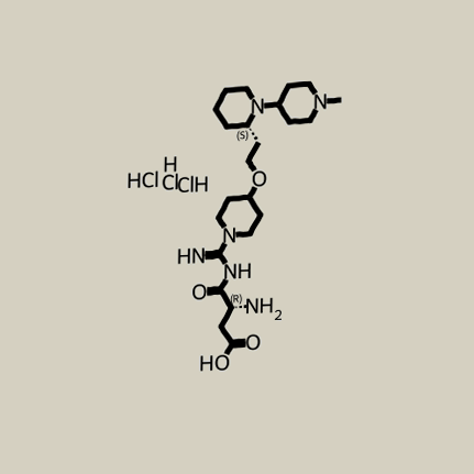 CN1CCC(N2CCCC[C@H]2CCOC2CCN(C(=N)NC(=O)[C@H](N)CC(=O)O)CC2)CC1.Cl.Cl.Cl